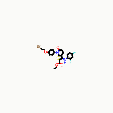 CCOC(=O)c1sc2c(ccc(=O)n2-c2ccc(OCCBr)cc2)c1Nc1ccc(F)cc1F